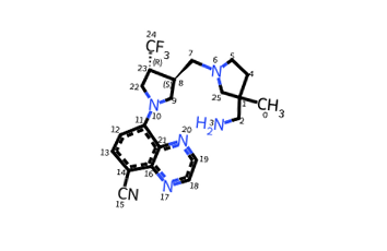 CC1(CN)CCN(C[C@H]2CN(c3ccc(C#N)c4nccnc34)C[C@@H]2C(F)(F)F)C1